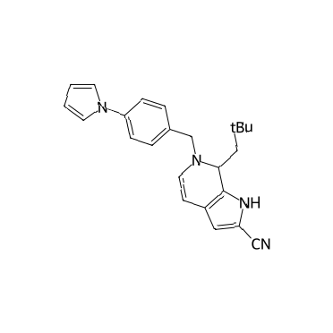 CC(C)(C)CC1c2[nH]c(C#N)cc2C=CN1Cc1ccc(-n2cccc2)cc1